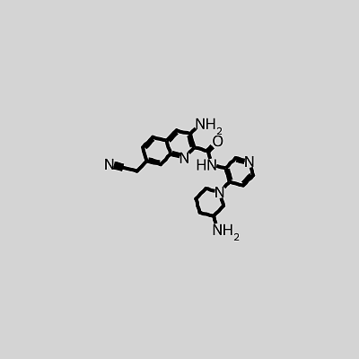 N#CCc1ccc2cc(N)c(C(=O)Nc3cnccc3N3CCCC(N)C3)nc2c1